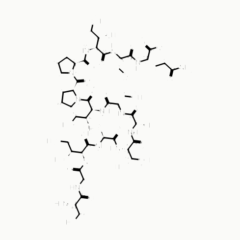 CC[C@H](C)[C@H](NC(=O)CNC(=O)[C@@H](N)CS)C(=O)N[C@@H](C)C(=O)N[C@H](C(=O)N[C@@H](C)C(=O)N[C@@H](CO)C(=O)N[C@H](C(=O)N1CCC[C@H]1C(=O)N1CCC[C@H]1C(=O)N[C@H](C(=O)N[C@@H](CS)C(=O)N[C@@H](CCC(N)=O)C(=O)O)[C@@H](C)CC)[C@@H](C)CC)[C@@H](C)O